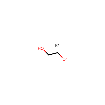 [K+].[O-]CCO